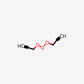 C#CCOOOCC#C